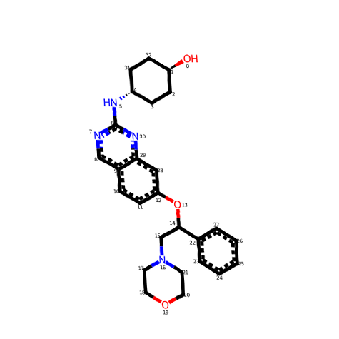 O[C@H]1CC[C@H](Nc2ncc3ccc(OC(CN4CCOCC4)c4ccccc4)cc3n2)CC1